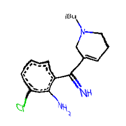 CCC(C)N1CCC=C(C(=N)c2cccc(Cl)c2N)C1